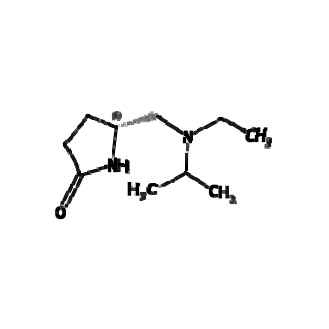 CCN(C[C@H]1CCC(=O)N1)C(C)C